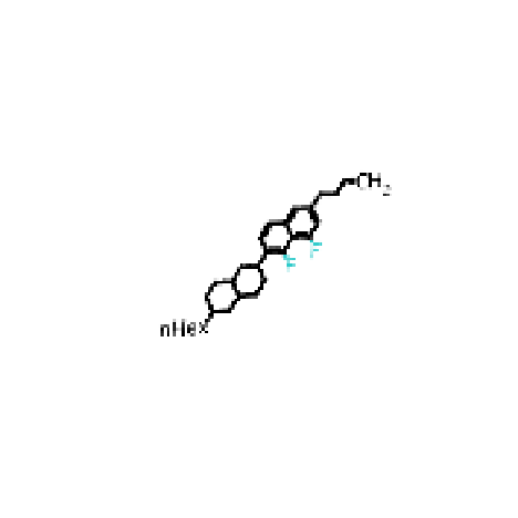 C=CCCc1cc(F)c2c(F)c(C3CCC4CC(CCCCCC)CCC4C3)ccc2c1